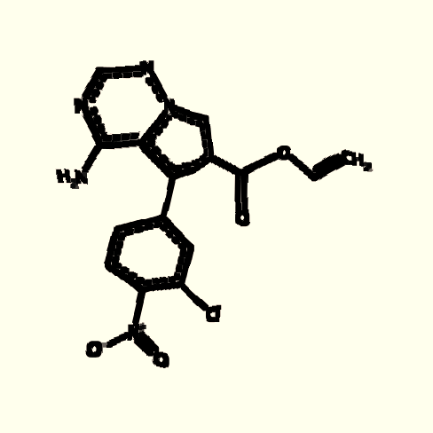 C=COC(=O)c1cn2ncnc(N)c2c1-c1ccc([N+](=O)[O-])c(Cl)c1